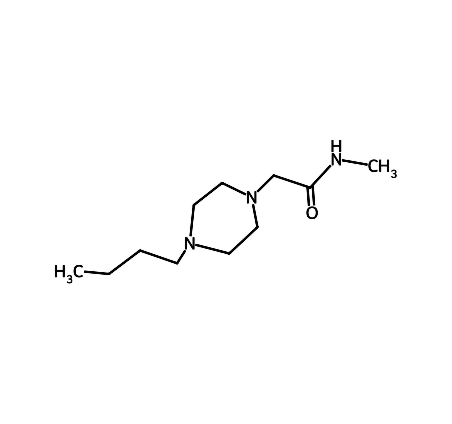 CCCCN1CCN(CC(=O)NC)CC1